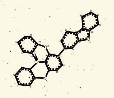 O=P12c3ccccc3Oc3ccc(-c4ccc5c(c4)oc4ccccc45)c(c31)Oc1ccccc12